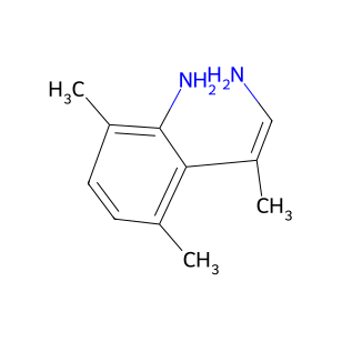 C/C(=C/N)c1c(C)ccc(C)c1N